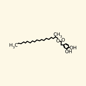 CCCCCCCCCCCCCCCCCC(C)COC(=O)Cc1ccc(O)c(O)c1